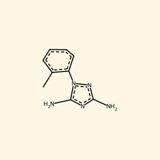 Cc1ccccc1-n1nc(N)nc1N